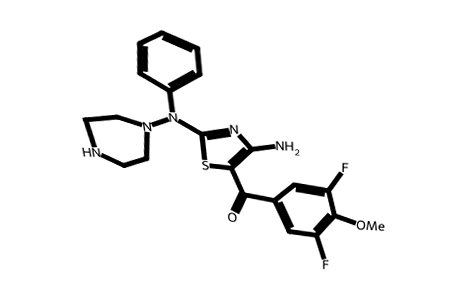 COc1c(F)cc(C(=O)c2sc(N(c3ccccc3)N3CCNCC3)nc2N)cc1F